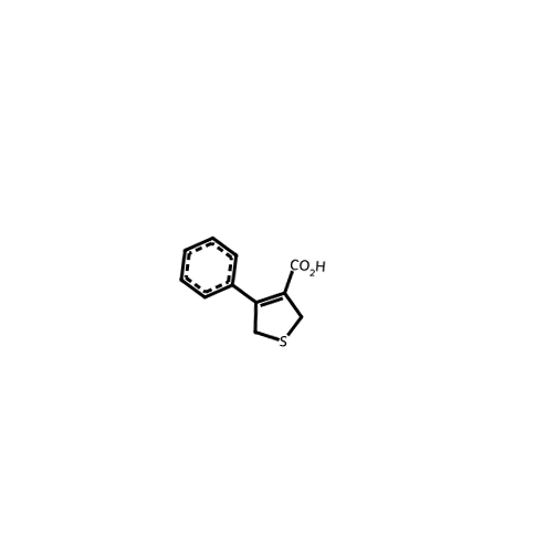 O=C(O)C1=C(c2ccccc2)CSC1